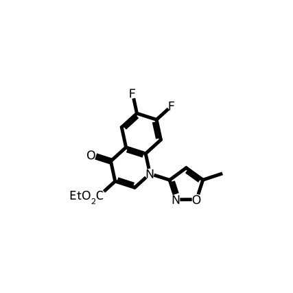 CCOC(=O)c1cn(-c2cc(C)on2)c2cc(F)c(F)cc2c1=O